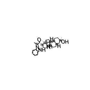 C[C@@H](C(=O)[C@H]1CC[C@H]2[C@@H]3CC[C@@H]4C[C@](C)(O)CC[C@@H]4[C@H]3CC[C@]12C)n1[nH]c2ccccc21